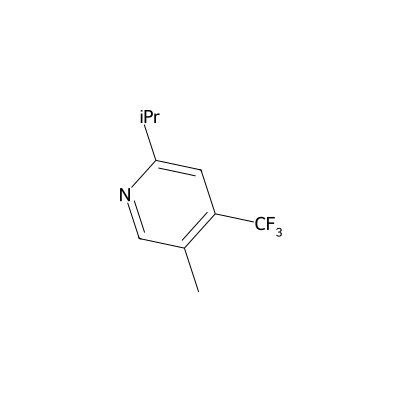 Cc1cnc(C(C)C)cc1C(F)(F)F